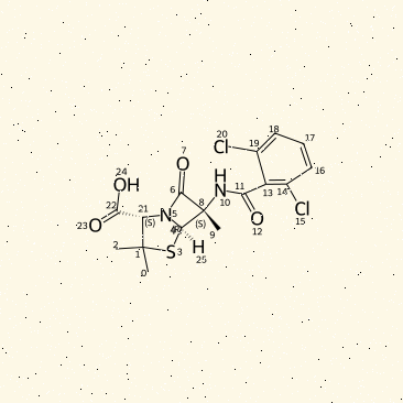 CC1(C)S[C@H]2N(C(=O)[C@]2(C)NC(=O)c2c(Cl)cccc2Cl)[C@H]1C(=O)O